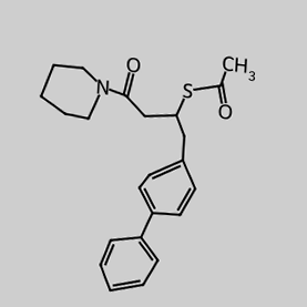 CC(=O)SC(CC(=O)N1CCCCC1)Cc1ccc(-c2ccccc2)cc1